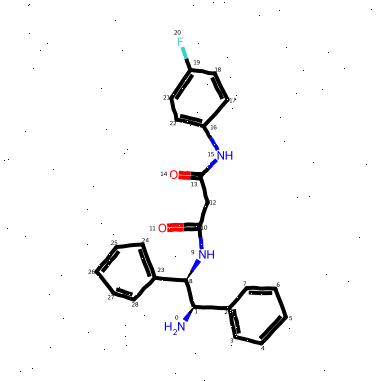 N[C@H](c1ccccc1)[C@H](NC(=O)CC(=O)Nc1ccc(F)cc1)c1ccccc1